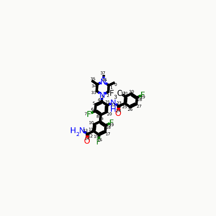 CC1CN(c2cc(F)c(-c3cc(C(N)=O)c(F)cc3F)cc2NC(=O)c2ccc(F)cc2C(F)(F)F)CC(C)N1C